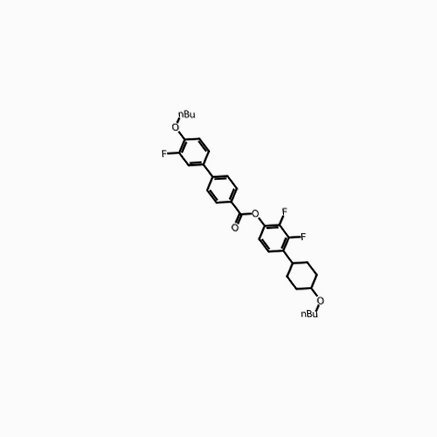 CCCCOc1ccc(-c2ccc(C(=O)Oc3ccc(C4CCC(OCCCC)CC4)c(F)c3F)cc2)cc1F